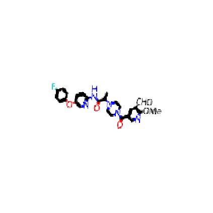 COc1ncc(C(=O)N2CCN(C(C)C(=O)Nc3ccc(Oc4ccc(F)cc4)cn3)CC2)cc1C=O